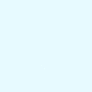 Oc1ccccc1-c1ccccc1N(c1cccc(-c2ccc3oc4ccccc4c3c2)c1)c1ccccc1-c1ccc2ccccc2c1